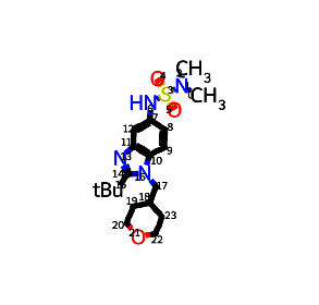 CN(C)S(=O)(=O)Nc1ccc2c(c1)nc(C(C)(C)C)n2CC1CCOCC1